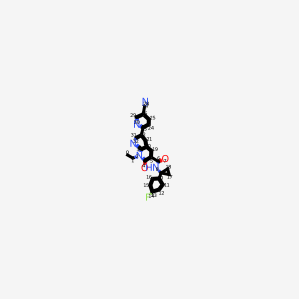 CCn1c(=O)c(C(=O)NC2(c3ccc(F)cc3)CC2)cc2cc(-c3ccc(C#N)cn3)cnc21